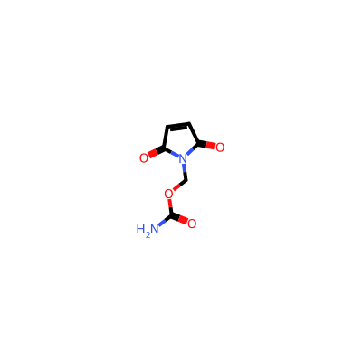 NC(=O)OCN1C(=O)C=CC1=O